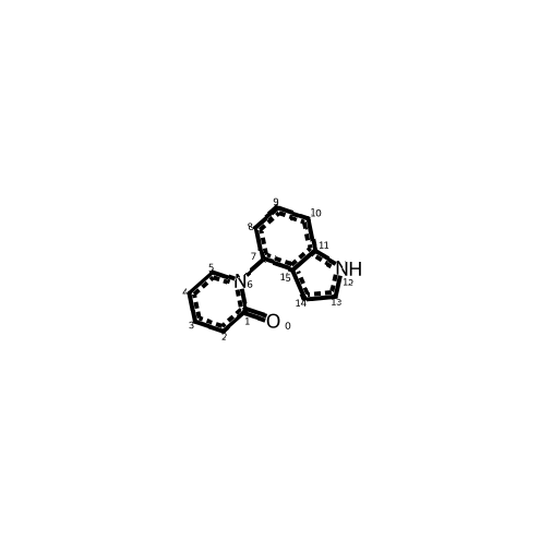 O=c1ccccn1-c1cccc2[nH]ccc12